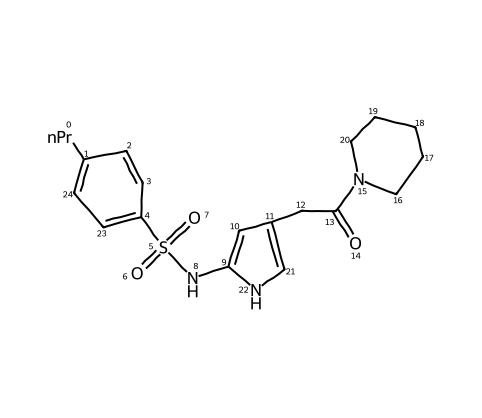 CCCc1ccc(S(=O)(=O)Nc2cc(CC(=O)N3CCCCC3)c[nH]2)cc1